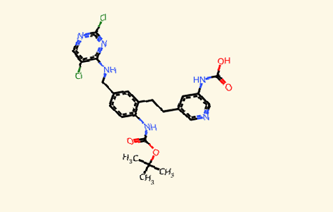 CC(C)(C)OC(=O)Nc1ccc(CNc2nc(Cl)ncc2Cl)cc1CCc1cncc(NC(=O)O)c1